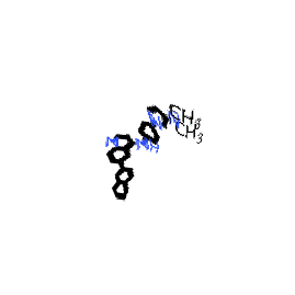 CN(C)[C@@H]1CCN(c2ccc(Nc3ccnc4ccc(-c5ccc6ccccc6c5)cc34)cc2)C1